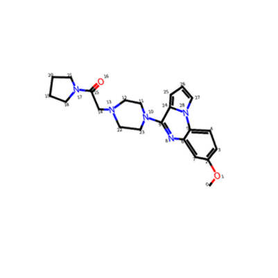 COc1ccc2c(c1)nc(N1CCN(CC(=O)N3CCCC3)CC1)c1cccn12